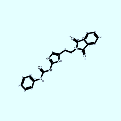 O=C(Nc1ncc(CCN2C(=O)c3ccccc3C2=O)s1)Oc1ccccc1